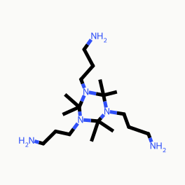 CC1(C)N(CCCN)C(C)(C)N(CCCN)C(C)(C)N1CCCN